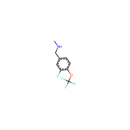 CNCc1ccc(OC(F)(F)F)c(F)c1